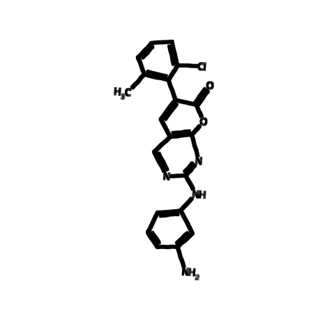 Cc1cccc(Cl)c1-c1cc2cnc(Nc3cccc(N)c3)nc2oc1=O